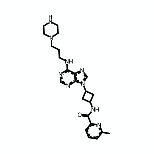 Cc1cccc(C(=O)NC2CC(n3cnc4c(NCCCN5CCNCC5)ncnc43)C2)n1